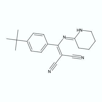 CC(C)(C)c1ccc(C(/N=C2\CCCCN2)=C(C#N)C#N)cc1